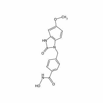 COc1ccc2c(c1)[nH]c(=O)n2Cc1ccc(C(=O)NO)cc1